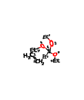 C=C.CCO[Si](CC)(OCC)OCC